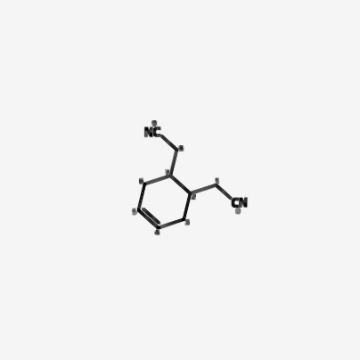 N#CCC1CC=CCC1CC#N